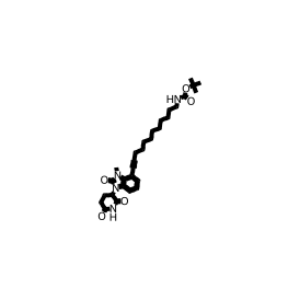 Cn1c(=O)n(C2CCC(=O)NC2=O)c2cccc(C#CCCCCCCCCCCNC(=O)OC(C)(C)C)c21